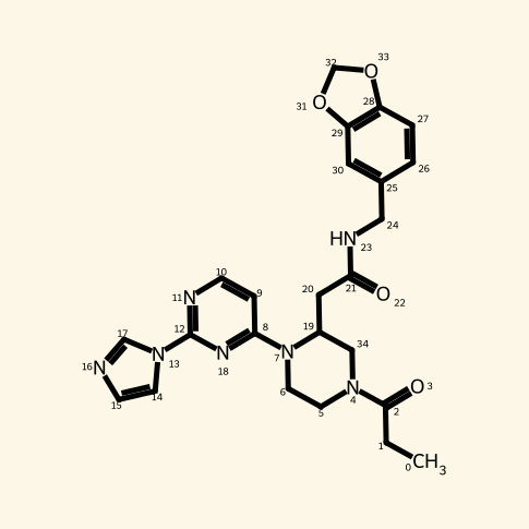 CCC(=O)N1CCN(c2ccnc(-n3ccnc3)n2)C(CC(=O)NCc2ccc3c(c2)OCO3)C1